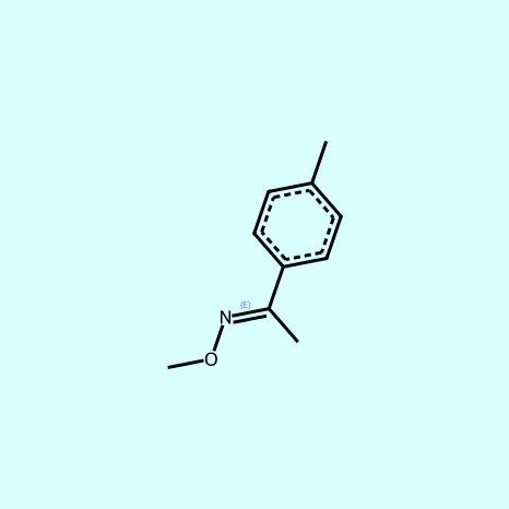 CO/N=C(\C)c1ccc(C)cc1